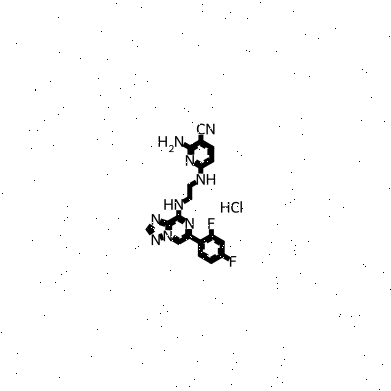 Cl.N#Cc1ccc(NCCNc2nc(-c3ccc(F)cc3F)cn3ncnc23)nc1N